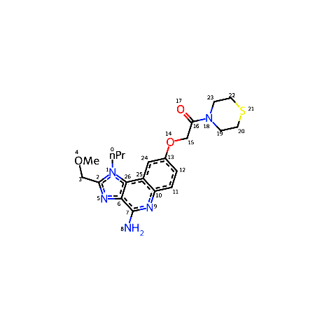 CCCn1c(COC)nc2c(N)nc3ccc(OCC(=O)N4CCSCC4)cc3c21